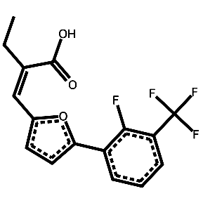 CCC(=Cc1ccc(-c2cccc(C(F)(F)F)c2F)o1)C(=O)O